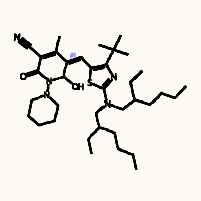 CCCCC(CC)CN(CC(CC)CCCC)c1nc(C(C)(C)C)c(/C=C2/C(C)=C(C#N)C(=O)N(N3CCCCC3)C2O)s1